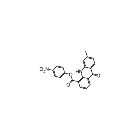 Cc1ccc2c(=O)c3cccc(C(=O)Oc4ccc([N+](=O)[O-])cc4)c3[nH]c2c1